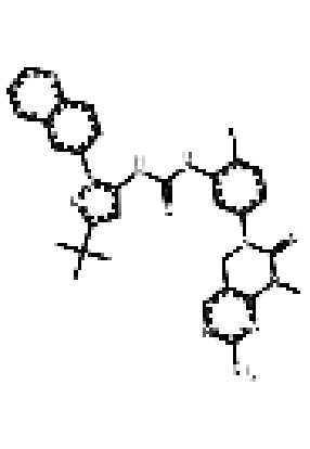 CN1C(=O)N(c2ccc(F)c(NC(=O)Nc3cc(C(C)(C)C)nn3-c3ccc4ncccc4c3)c2)Cc2cnc(N)nc21